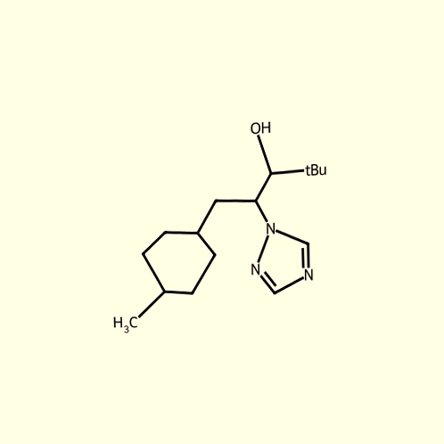 CC1CCC(CC(C(O)C(C)(C)C)n2cncn2)CC1